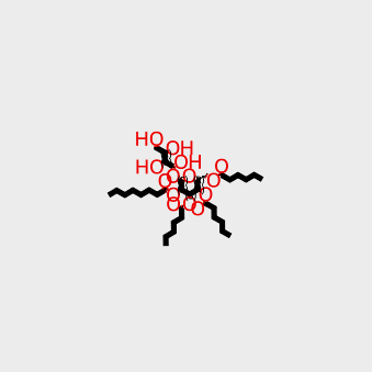 CCCCCCCC(=O)O[C@@H]1[C@H](OC(O)[C@H](O)[C@H](O)CO)O[C@H](COC(=O)CCCCC)[C@@H](OC(=O)CCCCC)[C@@H]1OC(=O)CCCCC